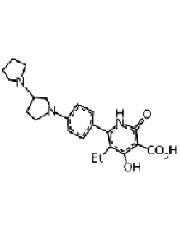 CCc1c(-c2ccc(N3CCC(N4CCCC4)C3)cc2)[nH]c(=O)c(C(=O)O)c1O